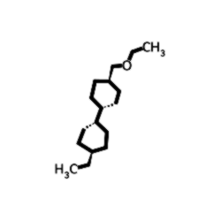 CCOC[C@H]1CC[C@H]([C@H]2CC[C@H](CC)CC2)CC1